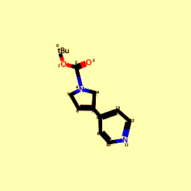 CC(C)(C)OC(=O)N1CC=C(c2ccncc2)C1